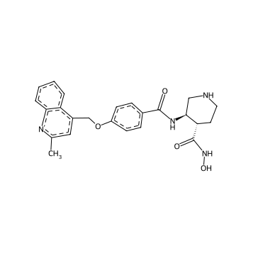 Cc1cc(COc2ccc(C(=O)N[C@H]3CNCC[C@@H]3C(=O)NO)cc2)c2ccccc2n1